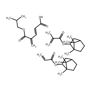 C=C(C)C(=O)OC1CC2CCC1(C)C2(C)C.C=C(C=CC(=O)O)C(=O)OCC(C)C.C=CC(=O)OC1CC2CCC1(C)C2(C)C